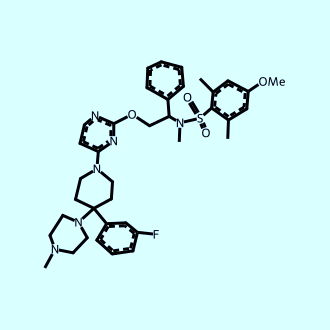 COc1cc(C)c(S(=O)(=O)N(C)C(COc2nccc(N3CCC(c4cccc(F)c4)(N4CCN(C)CC4)CC3)n2)c2ccccc2)c(C)c1